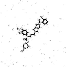 CCc1ccccc1C(=O)N1CC2CN(CCCN(C(=O)OC3CCN(C(C)=O)CC3)c3ccc(C)c(Cl)c3)CC2C1